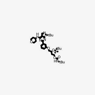 CC(C)(C)NC(=O)OCCC(COc1cccc(-c2nc(NC3CCOCC3)c3cnn(C(C)(C)C)c3n2)c1)O[Si](C)(C)C(C)(C)C